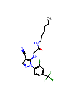 CCCCCCNC(=O)CNc1c(C#N)cnn1-c1ccc(C(F)(F)F)cc1Cl